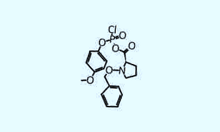 COc1ccc(OP(=O)(Cl)OC(=O)[C@H]2CCCN2OCc2ccccc2)cc1